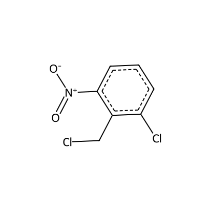 O=[N+]([O-])c1cccc(Cl)c1CCl